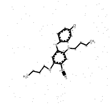 CCCCOc1cc(Sc2ccc(Cl)cc2)c(OCCCC)cc1[N+]#N